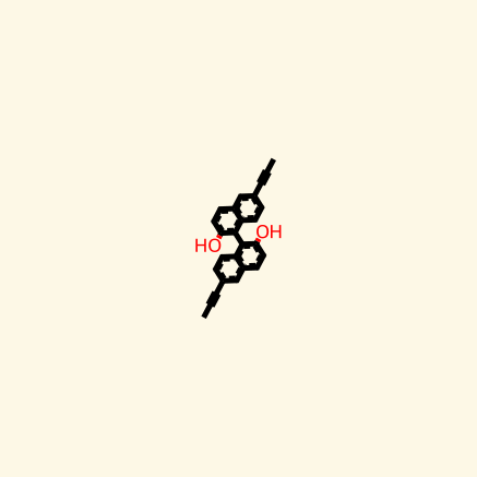 CC#Cc1ccc2c(-c3c(O)ccc4cc(C#CC)ccc34)c(O)ccc2c1